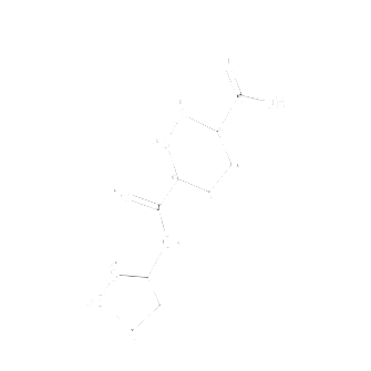 O=C(O)C1CCC(C(=O)OC2CCSS2)SS1